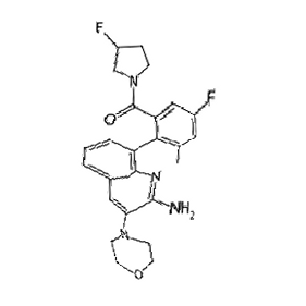 Cc1cc(F)cc(C(=O)N2CCC(F)C2)c1-c1cccc2cc(N3CCOCC3)c(N)nc12